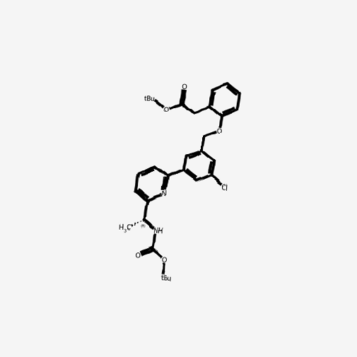 C[C@@H](NC(=O)OC(C)(C)C)c1cccc(-c2cc(Cl)cc(COc3ccccc3CC(=O)OC(C)(C)C)c2)n1